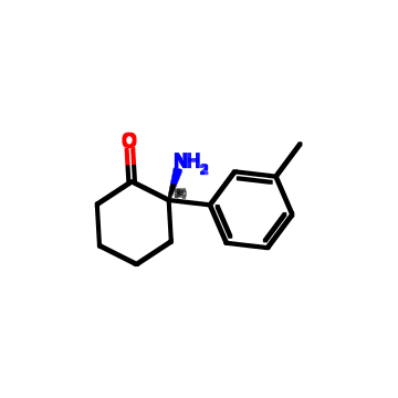 Cc1cccc([C@]2(N)CCCCC2=O)c1